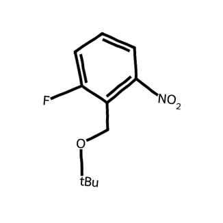 CC(C)(C)OCc1c(F)cccc1[N+](=O)[O-]